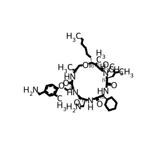 CCCCCC[C@H]1OC[C@H](C)NC(=O)[C@H](COc2ccc(CN)cc2C)NC(=O)[C@H](CN)NC(=O)[C@H](C2CCCCC2)NC(=O)[C@H](CC(C)C)N(C)C(=O)[C@@H]1C